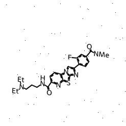 CCN(CC)CCCNC(=O)c1ccc2c(n1)sc1nc(-c3ccc(C(=O)NC)cc3F)cn12